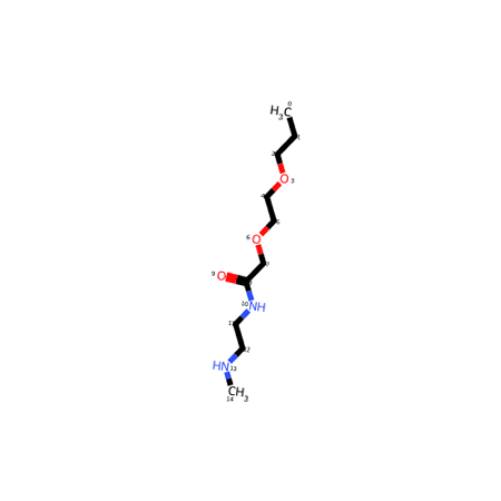 CCCOCCOCC(=O)NCCNC